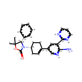 CC1(C)OC(=O)N([C@H]2CC=C(c3cnc(N)c(-c4ncccn4)c3)CC2)[C@H]1c1ccccc1